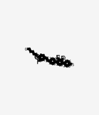 CCCCCCOc1ccc(/C=C/c2ccc(-c3ccc(-c4ccc(C)cc4)c(F)c3F)cc2)cc1F